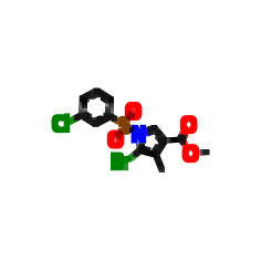 COC(=O)c1cn(S(=O)(=O)c2cccc(Cl)c2)c(Br)c1C